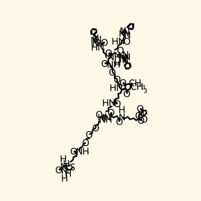 CC1(C)CC(=O)C(=C(CCCCC(=O)NCCCC[C@H](NC(=O)CCC(=O)NCCCCCC(=O)ON2C(=O)CCC2=O)C(=O)NCCCOCCOCCOCCCNC(=O)CCCC[C@@H]2SC[C@@H]3NC(=O)N[C@@H]32)NCCOCCOCCNC(=O)[C@H](CCCCNC(=O)c2nnn(-c3ccccc3)n2)NC(=O)[C@H](CCCCNC(=O)c2nnn(-c3ccccc3)n2)NC(=O)c2nnn(-c3ccccc3)n2)C(=O)C1